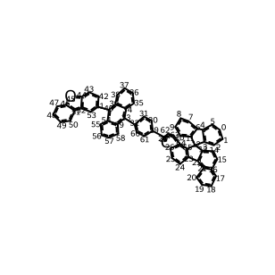 c1ccc2c(c1)-c1ccccc1C21c2ccc3ccccc3c2-c2ccc3cc(-c4ccc(-c5c6ccccc6c(-c6ccc7oc8ccccc8c7c6)c6ccccc56)cc4)ccc3c21